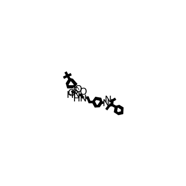 Cc1nn(-c2ccc(CCNC(=O)NS(=O)(=O)c3ccc(C(C)(C)C)cc3)cc2)c(C)c1-c1ccccc1